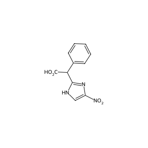 O=C(O)C(c1ccccc1)c1nc([N+](=O)[O-])c[nH]1